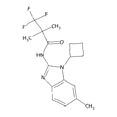 Cc1ccc2nc(NC(=O)C(C)(C)C(F)(F)F)n(C3CCC3)c2c1